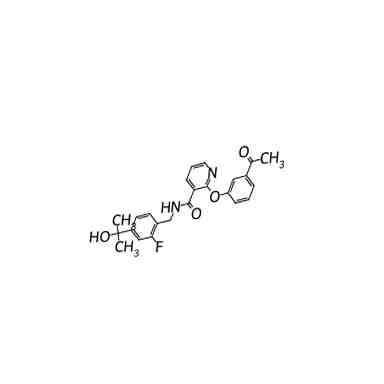 CC(=O)c1cccc(Oc2ncccc2C(=O)NCc2ccc(C(C)(C)O)cc2F)c1